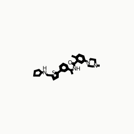 Cc1ccc(N2CCN(C)CC2)cc1C(=O)NC(C)c1cccc(-c2ccc(CNC3CCCC3)s2)c1